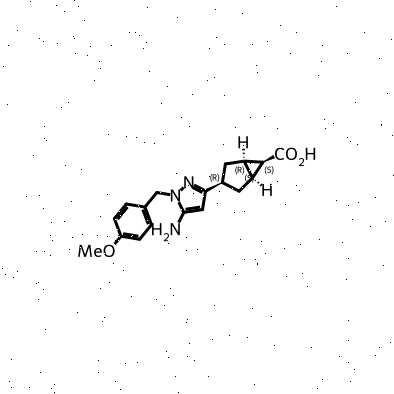 COc1ccc(Cn2nc([C@H]3C[C@@H]4[C@H](C3)[C@@H]4C(=O)O)cc2N)cc1